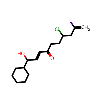 C=C(I)CC(Cl)CCC(=O)/C=C/C(O)C1CCCCC1